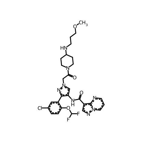 COCCCNC1CCN(C(=O)Cn2cc(NC(=O)c3cnn4cccnc34)c(-c3cc(Cl)ccc3OC(F)F)n2)CC1